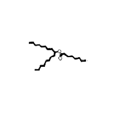 [CH2]CCCCCCC(=O)OC(CCCCCCCC)CCCCCCCC